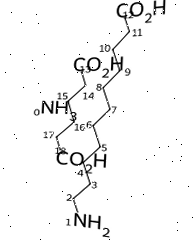 N.NCCCCCCCCCCC(=O)O.O=C(O)CCCCC(=O)O